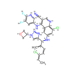 C=C(/C=C\C(Cl)=C/C)[C@H](Nc1cc(Cl)c2ncc(C#N)c(Nc3cnc(F)c(F)c3)c2c1)c1cn(C2COC2)nn1